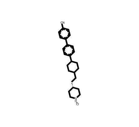 N#Cc1ccc(-c2ccc(C3CCC(CC[C@H]4CC[Si@H](Cl)CC4)CC3)cc2)cc1